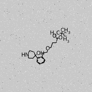 CC(C)(C)OC(=O)CCCOCCc1ccccc1C1(O)CCNCC1